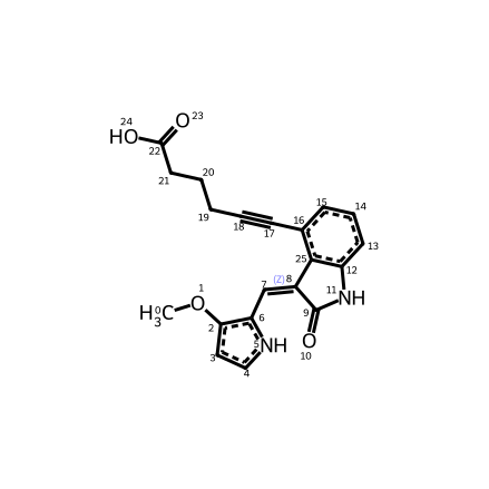 COc1cc[nH]c1/C=C1\C(=O)Nc2cccc(C#CCCCC(=O)O)c21